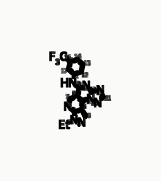 CCn1ncc2c1ncc1c(Nc3cccc(C(F)(F)F)c3)nc3ncnn3c12